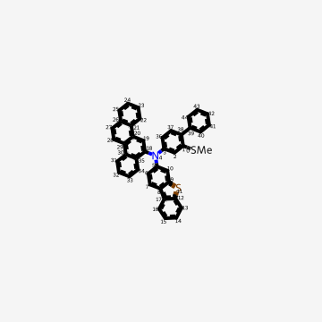 CSc1cc(N(c2ccc3c(c2)sc2ccccc23)c2cc3c4ccccc4ccc3c3ccccc23)ccc1-c1ccccc1